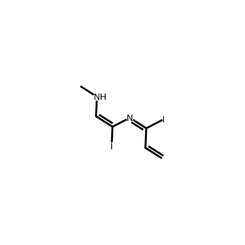 C=C/C(I)=N\C(I)=C/NC